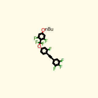 CCCCOc1cc(F)c(C(F)(F)Oc2ccc(C#Cc3cc(F)c(F)c(F)c3)c(F)c2)c(F)c1